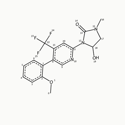 COc1ccccc1-c1cnc(N2C(=O)N(C)CC2O)cc1C(F)(F)F